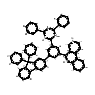 c1ccc(-c2nc(-c3ccccc3)nc(-c3cc(-c4ccc5c(c4)C(c4ccccc4)(c4ccccc4)c4ccccc4-5)cc(-c4nc5ccccc5c5ccncc45)c3)n2)cc1